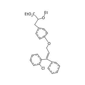 CCOC(=O)C(Cc1ccc(OC/C=C(/c2ccccc2)c2ccccc2Cl)cc1)OCC